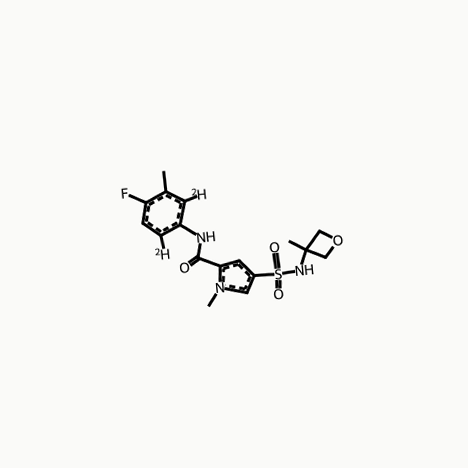 [2H]c1cc(F)c(C)c([2H])c1NC(=O)c1cc(S(=O)(=O)NC2(C)COC2)cn1C